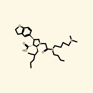 CCCCN(CCCCN(C)C)C(=O)CN1C[C@H](c2ccc3c(c2)CCO3)[C@@H](C(=O)O)[C@@H]1CC(C)CCC